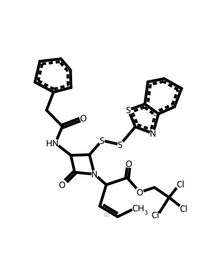 C/C=C\C(C(=O)OCC(Cl)(Cl)Cl)N1C(=O)C(NC(=O)Cc2ccccc2)C1SSc1nc2ccccc2s1